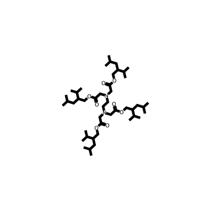 CC(C)CC(COC(=O)CN(CCN(CC(=O)OCC(CC(C)C)C(C)C)CC(=O)OCC(CC(C)C)C(C)C)CC(=O)OCC(CC(C)C)C(C)C)C(C)C